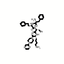 CC(C)C[C@@H](NC(=O)[C@@H](CCc1ccccc1)NC(=O)[C@H](N)Cc1ccccc1)C(=O)N[C@H](CCCCN)C(=O)N1CCN(c2cnccn2)CC1